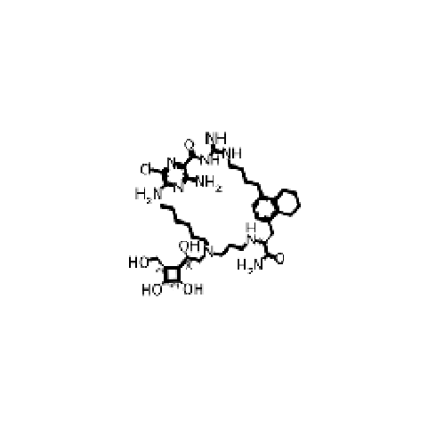 CCCCCCN(CCCN[C@@H](Cc1ccc(CCCCNC(=N)NC(=O)c2nc(Cl)c(N)nc2N)c2c1CCCC2)C(N)=O)C[C@H](O)C1[C@@H](O)[C@H](O)[C@H]1CO